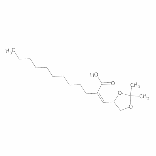 CCCCCCCCCCC(=CC1COC(C)(C)O1)C(=O)O